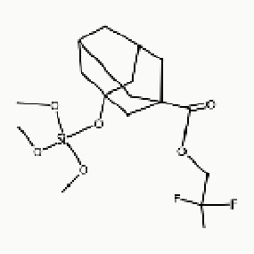 CO[Si](OC)(OC)OC12CC3CC(C1)CC(C(=O)OCC(C)(F)F)(C3)C2